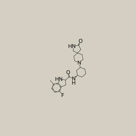 Cc1ccc(F)c2c1NC(C(=O)N[C@@H]1CCCC(N3CCC4(CC3)CNC(=O)C4)C1)C2